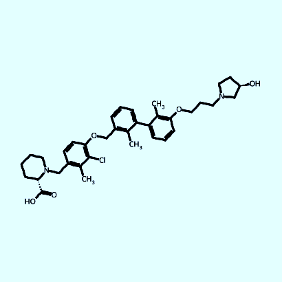 Cc1c(COc2ccc(CN3CCCC[C@H]3C(=O)O)c(C)c2Cl)cccc1-c1cccc(OCCCN2CC[C@@H](O)C2)c1C